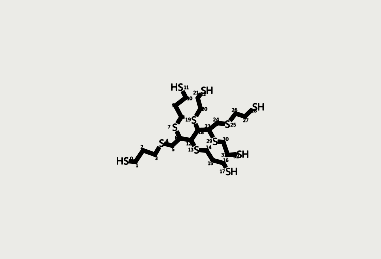 SCCCSCC(SCCCS)C(SCCCS)C(SCCS)C(CSCCS)SCCS